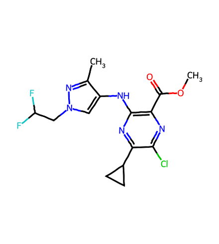 COC(=O)c1nc(Cl)c(C2CC2)nc1Nc1cn(CC(F)F)nc1C